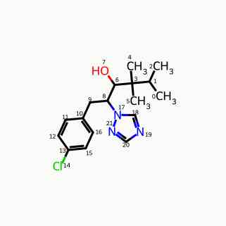 CC(C)C(C)(C)C(O)C(Cc1ccc(Cl)cc1)n1cncn1